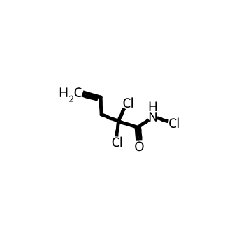 C=CCC(Cl)(Cl)C(=O)NCl